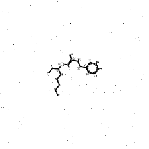 CCCCCC(CC)OC=C(C)CCc1ccccc1